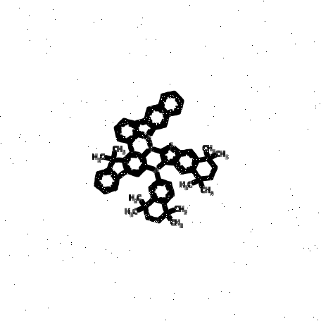 CC1(C)CCC(C)(C)c2cc(N3c4cc5c(c6c4B(c4sc7cc8c(cc7c43)C(C)(C)CCC8(C)C)n3c4cc7ccccc7cc4c4cccc-6c43)C(C)(C)c3ccccc3-5)ccc21